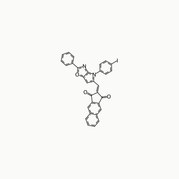 O=C1C(=Cc2cc3oc(-c4ccccc4)nc3n2-c2ccc(I)cc2)C(=O)c2cc3ccccc3cc21